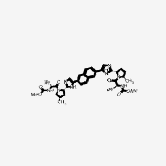 COC(=O)N[C@H](C(=O)N1C[C@H](C)C[C@H]1c1ncc(-c2ccc3cc(-c4cnc([C@@H]5CC[C@H](C)N5C(=O)[C@@H](NC(=O)OC)C(C)C)[nH]4)ccc3c2)[nH]1)C(C)C